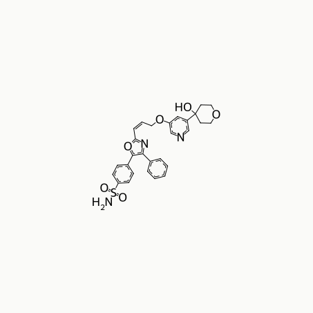 NS(=O)(=O)c1ccc(-c2oc(/C=C\COc3cncc(C4(O)CCOCC4)c3)nc2-c2ccccc2)cc1